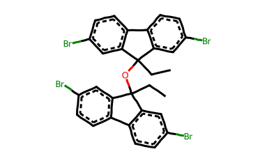 CCC1(OC2(CC)c3cc(Br)ccc3-c3ccc(Br)cc32)c2cc(Br)ccc2-c2ccc(Br)cc21